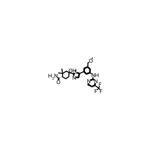 COCc1cc(Nc2nccc(C(F)(F)F)n2)cc(-c2cnc([C@@]3(O)CC[C@H](C(N)=O)C(C)(C)C3)s2)c1